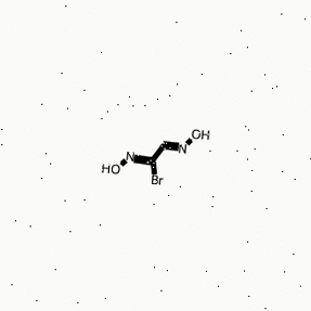 ON=CC(Br)=NO